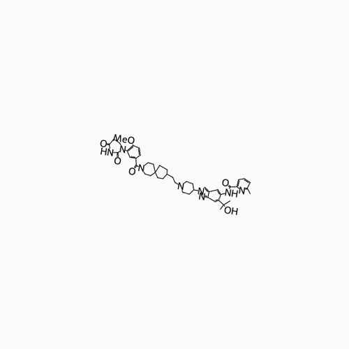 COc1ccc(C(=O)N2CCC3(CCC(CCN4CCC(n5cc6cc(NC(=O)c7cccc(C)n7)c(C(C)(C)O)cc6n5)CC4)CC3)CC2)cc1N1CCC(=O)NC1=O